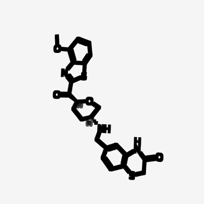 COc1cccc2sc(C(=O)[C@@H]3CC[C@@H](NCc4ccc5c(c4)NC(=O)CS5)CO3)nc12